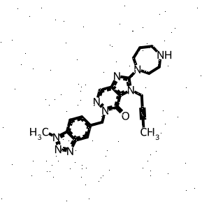 CC#CCn1c(N2CCCNCC2)nc2cnn(Cc3ccc4c(c3)nnn4C)c(=O)c21